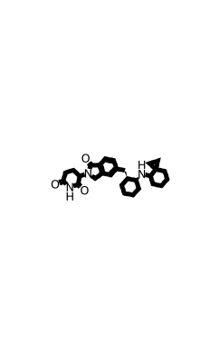 O=C1CCC(N2Cc3cc(C[C@H]4CCCC[C@@H]4NC4CCCCC45CC5)ccc3C2=O)C(=O)N1